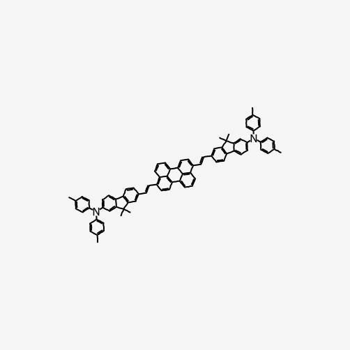 Cc1ccc(N(c2ccc(C)cc2)c2ccc3c(c2)C(C)(C)c2cc(/C=C/c4ccc5c6cccc7c(/C=C/c8ccc9c(c8)C(C)(C)c8cc(N(c%10ccc(C)cc%10)c%10ccc(C)cc%10)ccc8-9)ccc(c8cccc4c85)c76)ccc2-3)cc1